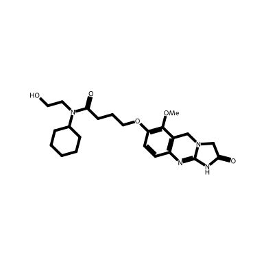 COc1c(OCCCC(=O)N(CCO)C2CCCCC2)ccc2c1CN1CC(=O)NC1=N2